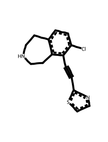 Clc1ccc2c(c1C#Cc1nccs1)CCNCC2